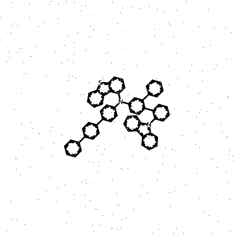 c1ccc(-c2ccc(-c3ccc(N(c4ccc(-c5ccccc5-n5c6ccccc6c6ccccc65)c(-c5ccccc5)c4)c4cccc5sc6ccccc6c45)cc3)cc2)cc1